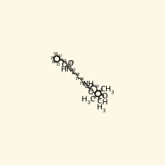 Cc1c(C)c2c(c(C)c1O)CCC(CNCCCCCCNC(=O)OCc1ccccc1)O2